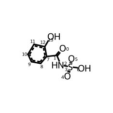 O=C(NS(=O)(=O)O)c1ccccc1O